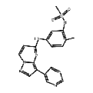 Cc1ccc(Nc2ccn3ncc(-c4cncnc4)c3n2)cc1NS(C)(=O)=O